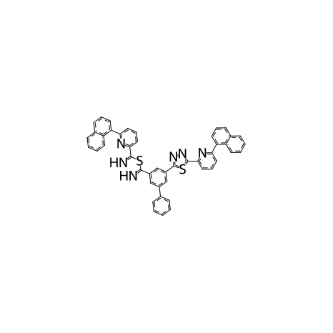 N=C(SC(=N)c1cccc(-c2cccc3ccccc23)n1)c1cc(-c2ccccc2)cc(-c2nnc(-c3cccc(-c4cccc5ccccc45)n3)s2)c1